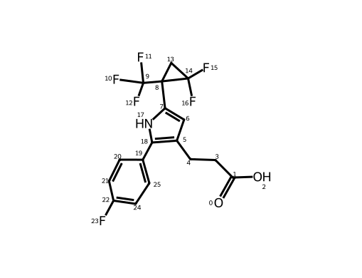 O=C(O)CCc1cc(C2(C(F)(F)F)CC2(F)F)[nH]c1-c1ccc(F)cc1